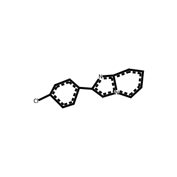 Clc1ccc(-c2[c]n3ccccc3n2)cc1